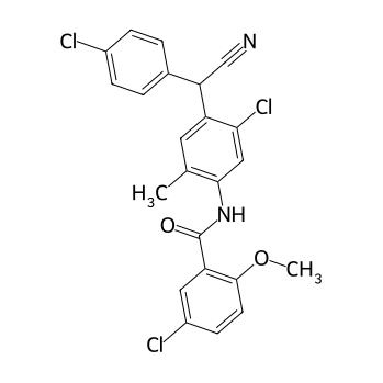 COc1ccc(Cl)cc1C(=O)Nc1cc(Cl)c(C(C#N)c2ccc(Cl)cc2)cc1C